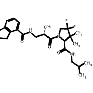 CC(C)CNC(=O)[C@H]1N(C(=O)[C@@H](O)CNC(=O)c2cccc3c2CCN3)CC(F)(F)C1(C)C